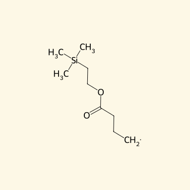 [CH2]CCC(=O)OCC[Si](C)(C)C